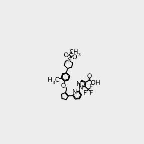 Cc1cc(C2CCN(S(C)(=O)=O)CC2)ccc1OCC1=C(c2cccc(-n3ncc(C(=O)O)c3C(F)(F)F)n2)CCC1